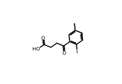 Cc1ccc(I)c(C(=O)CCC(=O)O)c1